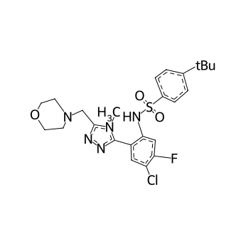 Cn1c(CN2CCOCC2)nnc1-c1cc(Cl)c(F)cc1NS(=O)(=O)c1ccc(C(C)(C)C)cc1